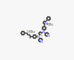 C/C(=C\C=C(/SC(C)(C)C)c1ccccc1)c1ccc(N(c2ccncc2)c2ccc(N(c3ccncc3)c3ccc(-c4ccc(-c5ccccc5)n4C(C)(C)C)cc3)s2)cc1